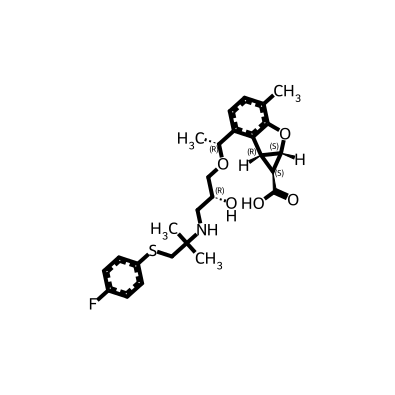 Cc1ccc([C@@H](C)OC[C@H](O)CNC(C)(C)CSc2ccc(F)cc2)c2c1O[C@@H]1[C@@H](C(=O)O)[C@H]21